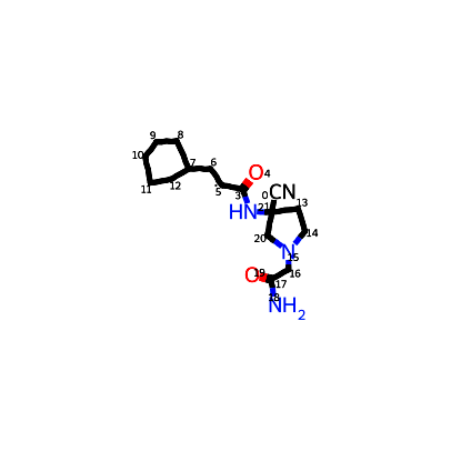 N#CC1(NC(=O)[CH]CC2CCCCC2)CCN(CC(N)=O)C1